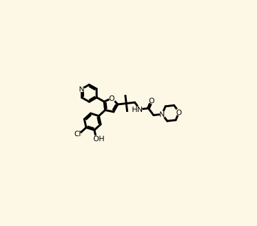 CC(C)(CNC(=O)CN1CCOCC1)c1cc(-c2ccc(Cl)c(O)c2)c(-c2ccncc2)o1